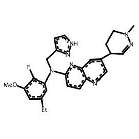 CCc1cc(OC)c(F)c(N(Cc2cc[nH]n2)c2ccc3ncc(C4C=NN(C)CC4)cc3n2)c1